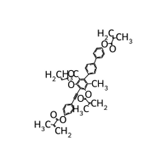 C=CC(=O)Oc1c(C)c(-c2ccc(-c3ccc(OC(=O)C(=C)C)cc3)cc2)c(C)c(OC(=O)C(=C)C)c1C#Cc1ccc(OC(=O)C(=C)C)cc1